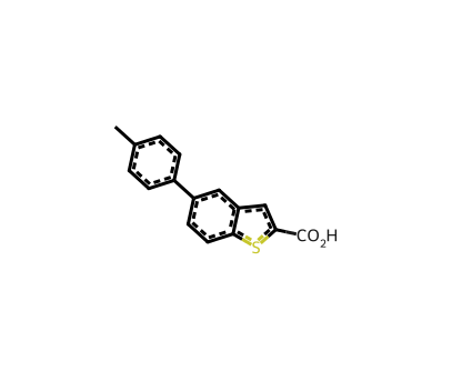 Cc1ccc(-c2ccc3sc(C(=O)O)cc3c2)cc1